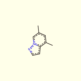 Cc1cc(C)c2ccnn2c1